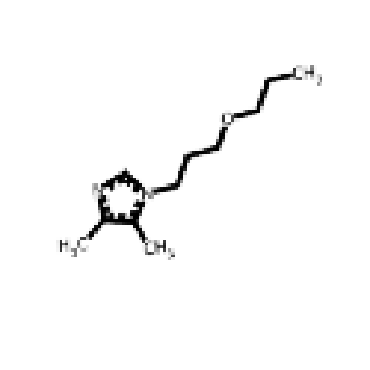 CCCOCCCn1[c]nc(C)c1C